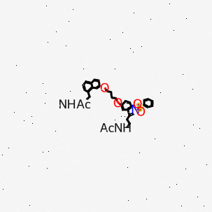 CC(=O)NCCc1cccc2ccc(OCCCCOc3ccc4c(c3)c(CCNC(C)=O)cn4S(=O)(=O)c3ccccc3)cc12